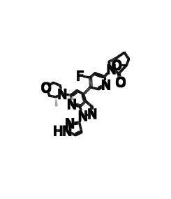 C[C@@H]1COCCN1c1cc(-c2cnc(N3CC4CCC(O4)C3=O)cc2F)c2cnn(-c3cc[nH]n3)c2n1